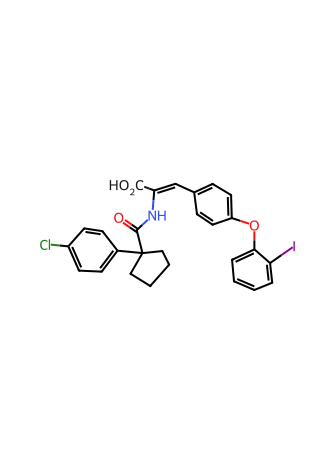 O=C(O)/C(=C/c1ccc(Oc2ccccc2I)cc1)NC(=O)C1(c2ccc(Cl)cc2)CCCC1